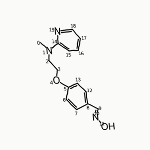 CN(CCOc1ccc(C=NO)cc1)c1ccccn1